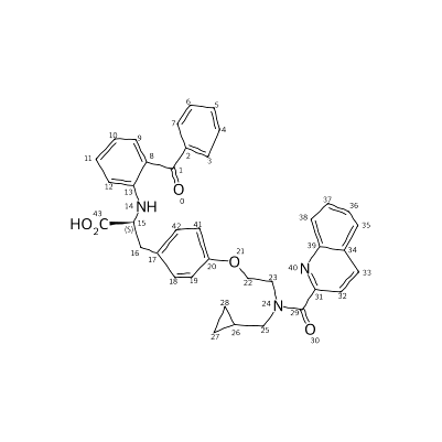 O=C(c1ccccc1)c1ccccc1N[C@@H](Cc1ccc(OCCN(CC2CC2)C(=O)c2ccc3ccccc3n2)cc1)C(=O)O